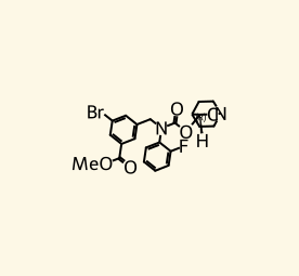 COC(=O)c1cc(Br)cc(CN(C(=O)O[C@H]2CN3CCC2CC3)c2ccccc2F)c1